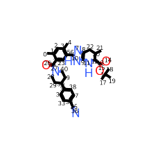 Cc1cc(C)c(-c2nc3c([nH]2)NC(C(=O)OC(C)(C)C)C(C)C3)cc1C(=O)N1CCC(c2ccc(C#N)cc2)CC1